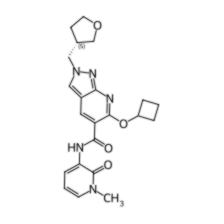 Cn1cccc(NC(=O)c2cc3cn(C[C@@H]4CCOC4)nc3nc2OC2CCC2)c1=O